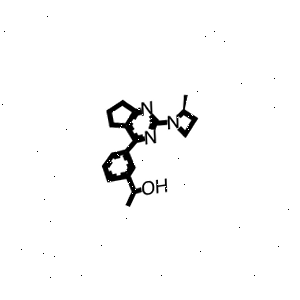 CC(O)c1cccc(-c2nc(N3CC[C@@H]3C)nc3c2CCC3)c1